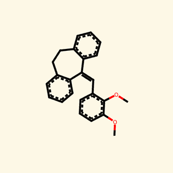 COc1cccc(C=C2c3ccccc3CCc3ccccc32)c1OC